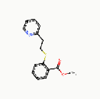 COC(=O)c1ccccc1SCCc1ccccn1